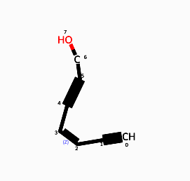 C#C/C=C\C#CCO